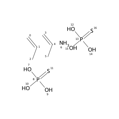 C=CC.C=CC.N.OP(O)(O)=S.OP(O)(O)=S